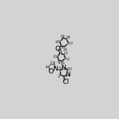 Clc1cc(N2OCC[C@@H]2c2cccc(Oc3ccccc3)c2)ncn1